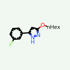 [CH2]CCCCCOc1cc(-c2cccc(F)c2)[nH]n1